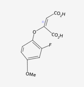 COc1ccc(O/C(=C/C(=O)O)C(=O)O)c(F)c1